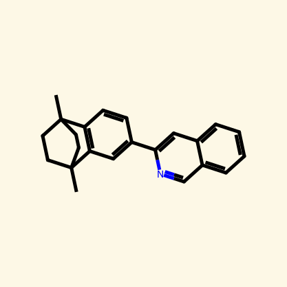 CC12CCC(C)(CC1)c1cc(-c3cc4ccccc4cn3)ccc12